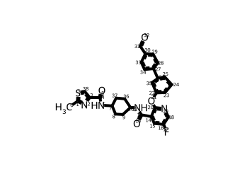 Cc1nc(C(=O)NC2CCC(NC(=O)c3cc(F)cnc3Oc3cccc(-c4ccc(C=O)cc4)c3)CC2)cs1